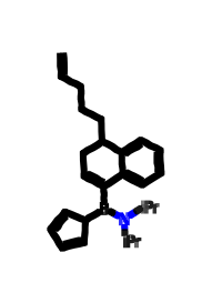 C=CCCCC1CC=C(B(C2C=CC=C2)N(C(C)C)C(C)C)c2ccccc21